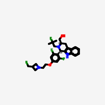 CC(C)(F)CN1[C@@H](CO)Cc2c([nH]c3ccccc23)[C@@H]1c1c(F)cc(OCCN2CC(CF)C2)cc1F